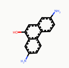 Nc1ccc2c(c1)cc(O)c1cc(N)ccc12